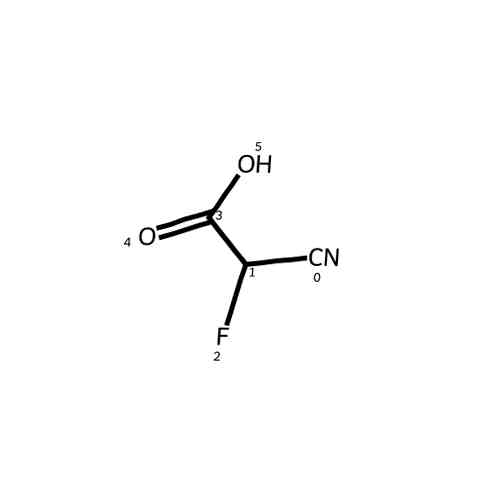 N#CC(F)C(=O)O